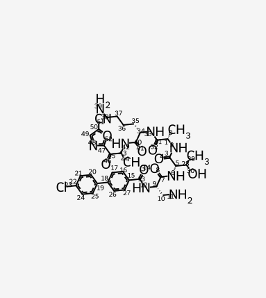 C[C@H](NC(=O)[C@@H](NC(=O)[C@H](CN)NC(=O)c1ccc(-c2ccc(Cl)cc2)cc1)[C@@H](C)O)C(=O)N[C@@H](CCCCN)C(=O)N[C@@H](C)C(=O)c1ncc(C#N)o1